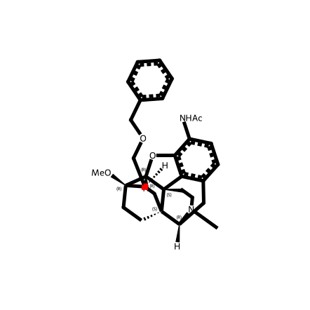 CO[C@]12CC[C@@]3(C[C@@H]1COCc1ccccc1)[C@H]1Cc4ccc(NC(C)=O)c5c4[C@@]3(CCN1C)[C@H]2O5